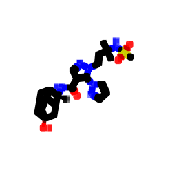 CC(C)(/C=C/n1ncc(C(=O)N[C@H]2C3CC4CC2C[C@](O)(C4)C3)c1-n1cccn1)NS(C)(=O)=O